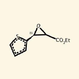 CCOC(=O)C1O[C@@H]1c1cccs1